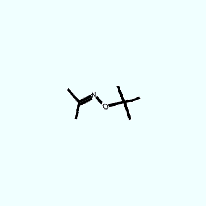 [CH2]C(C)=NOC(C)(C)C